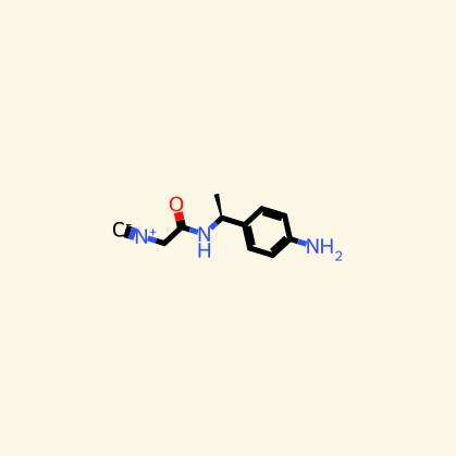 [C-]#[N+]CC(=O)N[C@@H](C)c1ccc(N)cc1